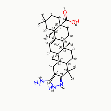 CC1(C)CC[C@]2(C(=O)O)CC[C@]3(C)C(=CCC4[C@@]5(C)Cc6c(n[nH]c6N)C(C)(C)C5CC[C@]43C)[C@@H]2C1